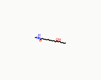 CC=NNC(=O)CCCCCCCCCC[C@H](O)CCCCCC